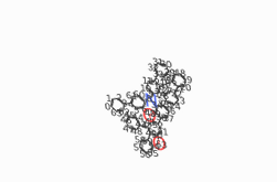 c1ccc(-c2ccc(N(c3ccc4c(c3)C3(c5ccccc5-c5ccccc53)c3ccccc3-4)c3cccc4c3oc3c(-c5ccccc5)c5c(cc34)oc3ccccc35)cc2)cc1